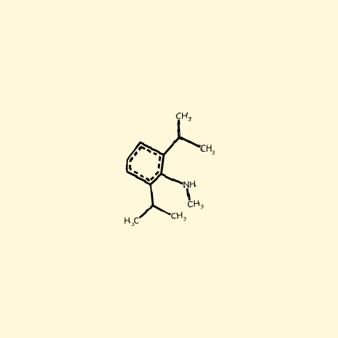 CNc1c(C(C)C)cccc1C(C)C